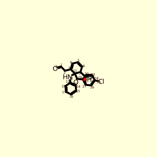 O=CCC1=CC=CC(C(=O)O)C1(Nc1ccccc1)C(=O)c1ccc(Cl)cc1